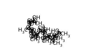 COP(=O)(OCC1OC(C)CC1OP(=O)(OC)OCC1OC(C)CC1OP(=S)(OC)OCC1OC(C)CC1OP(=S)(OC)OCC1OC(C)CC1OP(=O)(OC)OCC1OC(C)CC1OP(=O)(OC)OCC1OC(C)CC1O)OC1CC(C)OC1CO